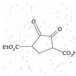 CCOC(=O)C1CC(C(=O)O)C(=O)C1=O